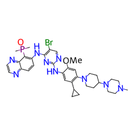 COc1cc(N2CCC(N3CCN(C)CC3)CC2)c(C2CC2)cc1Nc1ncc(Br)c(Nc2ccc3nccnc3c2P(C)(C)=O)n1